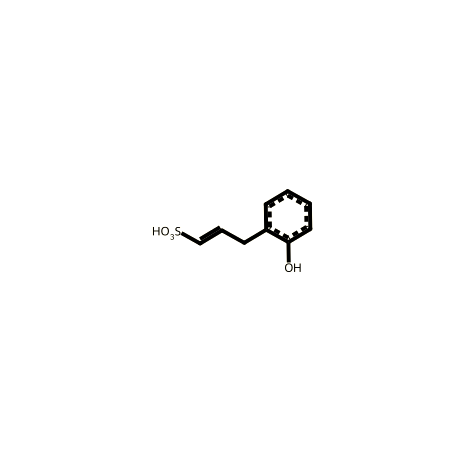 O=S(=O)(O)C=CCc1ccccc1O